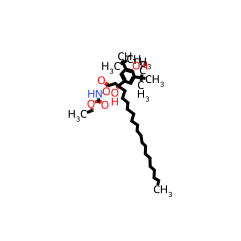 CCCCCCCCCCCCCCCCCCC(O)(CC(=O)ONC(=O)OCC)c1cc(C(C)(C)C)c(O)c(C(C)(C)C)c1